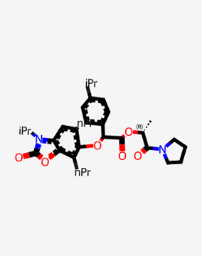 CCCc1cc2c(oc(=O)n2C(C)C)c(CCC)c1OC(C(=O)O[C@H](C)C(=O)N1CCCC1)c1ccc(C(C)C)cc1